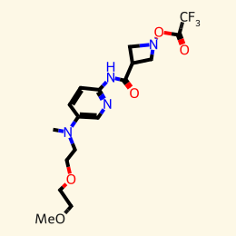 COCCOCCN(C)c1ccc(NC(=O)C2CN(OC(=O)C(F)(F)F)C2)nc1